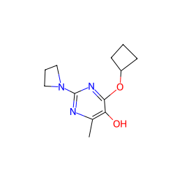 Cc1nc(N2CCC2)nc(OC2CCC2)c1O